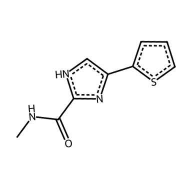 CNC(=O)c1nc(-c2cccs2)c[nH]1